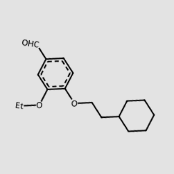 CCOc1cc(C=O)ccc1OCCC1CCCCC1